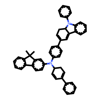 CC1(C)c2ccccc2-c2ccc(N(c3ccc(C4=CCC5C(=C4)c4ccccc4N5c4ccccc4)cc3)C3C=CC(c4ccccc4)=CC3)cc21